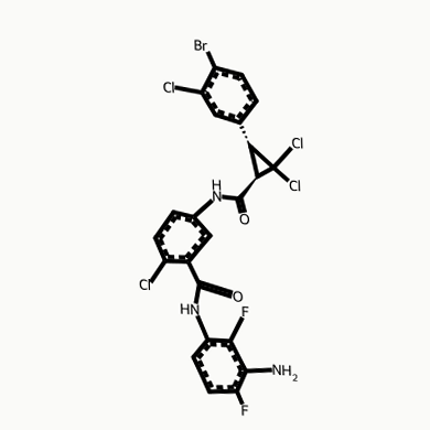 Nc1c(F)ccc(NC(=O)c2cc(NC(=O)[C@H]3[C@H](c4ccc(Br)c(Cl)c4)C3(Cl)Cl)ccc2Cl)c1F